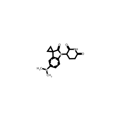 CN(C)c1ccc2c(c1)C1(CC1)C(=O)N2C1CCC(=O)NC1=O